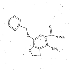 COC(=O)c1cc(OCc2ccccc2)c2c(c1N)CCO2